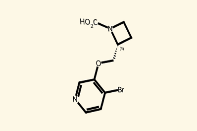 O=C(O)N1CC[C@@H]1COc1cnccc1Br